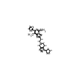 Cc1c(-c2ncco2)nc(N)n2nc(CCN3CCc4c(nnn4C4CCCC4)C3)nc12